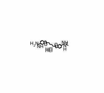 CC(C)NC(=N)c1ccc2cc(CCCCc3cc4ccc(C(=N)N)cc4o3)oc2c1.Cl.Cl